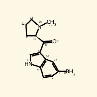 Bc1ccc2[nH]cc(C(=O)[C@H]3CCCN3C)c2c1